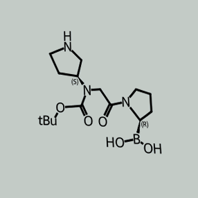 CC(C)(C)OC(=O)N(CC(=O)N1CCC[C@H]1B(O)O)[C@H]1CCNC1